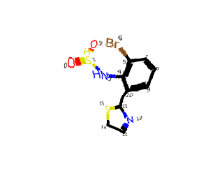 O=[SH](=O)Nc1c(Br)cccc1C1N=CCS1